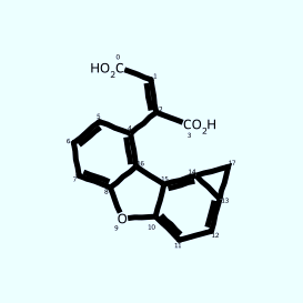 O=C(O)/C=C(/C(=O)O)c1cccc2oc3ccc4c(c3c12)C4